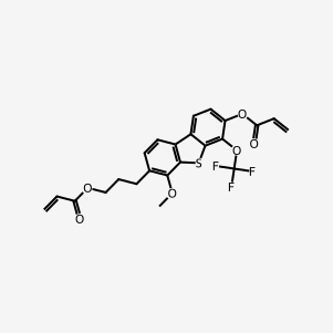 C=CC(=O)OCCCc1ccc2c(sc3c(OC(F)(F)F)c(OC(=O)C=C)ccc32)c1OC